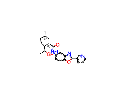 CC(O)C1CC[C@@H](C)C[C@H]1C(=O)Nc1ccc2oc(-c3cccnc3)nc2c1